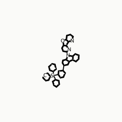 c1ccc([Si](c2ccccc2)(c2ccccc2)c2cccc(-c3ccc4c(c3)c3ccccc3n4-c3ccc4oc5cccnc5c4n3)c2)cc1